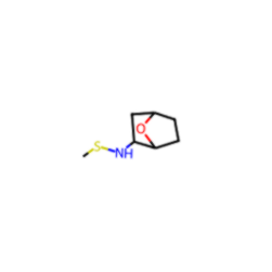 CSNC1CC2CCC1O2